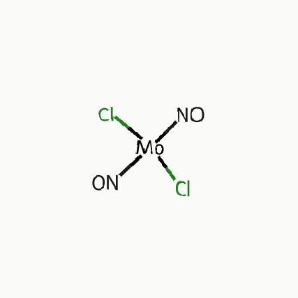 O=[N][Mo]([Cl])([Cl])[N]=O